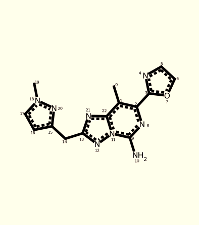 Cc1c(-c2ncco2)nc(N)n2nc(Cc3ccn(C)n3)nc12